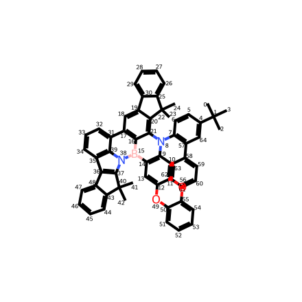 CC(C)(C)c1ccc(N2c3cc4c(cc3B3c5c(cc6c(c52)C(C)(C)c2ccccc2-6)-c2cccc5c6c(n3c25)C(C)(C)c2ccccc2-6)Oc2ccccc2O4)c(-c2ccccc2)c1